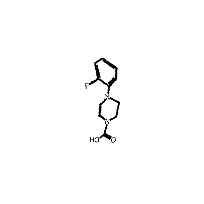 O=C(O)N1CCN(c2ccccc2F)CC1